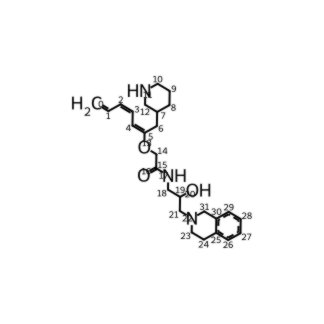 C=C/C=C\C=C(/CC1CCCNC1)OCC(=O)NCC(O)CN1CCc2ccccc2C1